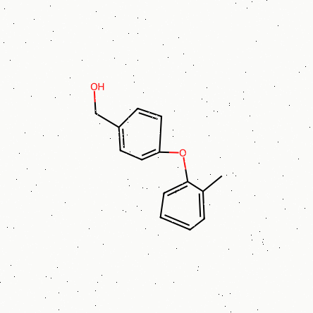 Cc1ccccc1Oc1ccc(CO)cc1